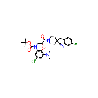 CN(C)c1cc(Cl)cc2c1OC(C(=O)N1CCC(C#N)(Cc3ccc(F)cc3)CC1)CN2C(=O)OC(C)(C)C